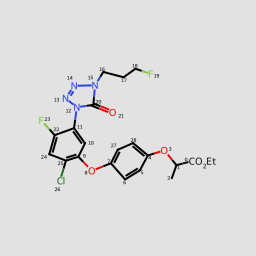 CCOC(=O)C(C)Oc1ccc(Oc2cc(-n3nnn(CCCF)c3=O)c(F)cc2Cl)cc1